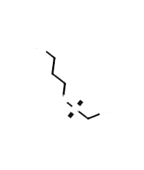 O=S(=O)(CS)OCCCO